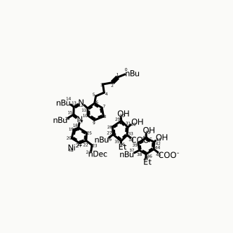 CCCCC#CCCCc1ccccc1N=C(CCCC)C(CCCC)=Nc1cccc(CCCCCCCCCCC)c1.CCCCc1cc(O)c(O)c(C(=O)[O-])c1CC.CCCCc1cc(O)c(O)c(C(=O)[O-])c1CC.[Ni+2]